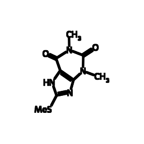 CSc1nc2c([nH]1)c(=O)n(C)c(=O)n2C